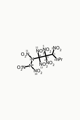 CCCC([N+](=O)[O-])C([N+](=O)[O-])([N+](=O)[O-])C(N(N([N+](=O)[O-])[N+](=O)[O-])[N+](=O)[O-])([N+](=O)[O-])[N+](=O)[O-]